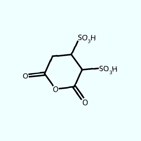 O=C1CC(S(=O)(=O)O)C(S(=O)(=O)O)C(=O)O1